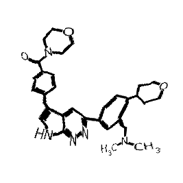 CN(C)Cc1cc(-c2cc3c(-c4ccc(C(=O)N5CCOCC5)cc4)c[nH]c3nn2)ccc1C1CCOCC1